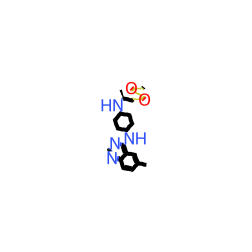 Cc1ccc2ncnc(N[C@H]3CC[C@H](N[C@@H](C)CS(C)(=O)=O)CC3)c2c1